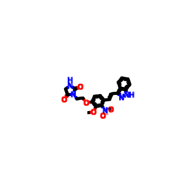 COc1c(OCCN2C(=O)CNC2=O)ccc(C=Cc2n[nH]c3ccccc23)c1[N+](=O)[O-]